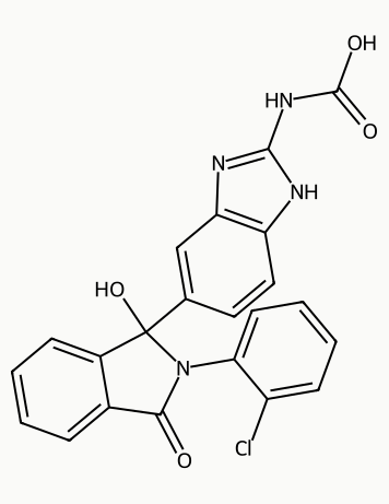 O=C(O)Nc1nc2cc(C3(O)c4ccccc4C(=O)N3c3ccccc3Cl)ccc2[nH]1